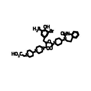 Bc1cc(C[C@@H](OC(=O)N2CCC(N3CCc4ccccc4NC3=O)CC2)C(=O)N2CCN(C3CCN(CC(=O)O)CC3)CC2)cc(Br)c1O